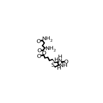 NC(=O)CC[C@H](N)C(=O)OC(=O)CCCC[C@@H]1SC[C@@H]2NC(=O)N[C@@H]21